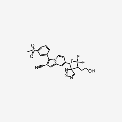 CS(=O)(=O)c1cccc(-c2c(C#N)cc3cc(CC4(C(CCO)C(F)(F)F)C=NN=N4)ccn23)c1